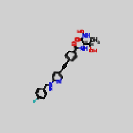 C[C@@H](O)[C@H](NC(=O)c1ccc(C#Cc2ccc(NCc3ccc(F)cc3)nc2)cc1)C(=O)NO